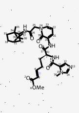 COC(=O)/C=C/CC[C@H](NC(=O)c1cncn1C)C(=O)Nc1cccn(CC(=O)NC2CC3CCC2(C)C3(C)C)c1=O